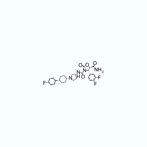 NC(=O)[C@@H]1OC(=O)N(C(=O)N[C@@H]2CCN([C@H]3CC[C@H](c4ccc(F)cc4)CC3)C2)[C@H]1c1ccc(F)c(F)c1